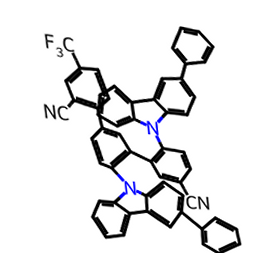 N#Cc1ccc(-n2c3ccccc3c3cc(-c4ccccc4)ccc32)c(-c2cc(-c3ccc(C(F)(F)F)cc3C#N)ccc2-n2c3ccccc3c3cc(-c4ccccc4)ccc32)c1